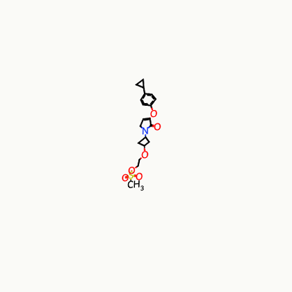 CS(=O)(=O)OCCO[C@H]1C[C@@H](N2CC=C(Oc3ccc(C4CC4)cc3)C2=O)C1